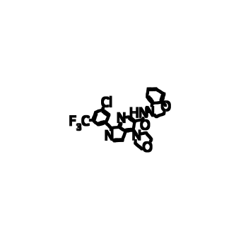 O=C(NN1CCOc2ccccc21)c1cnc2c(-c3cc(Cl)cc(C(F)(F)F)c3)nccc2c1N1CCOCC1